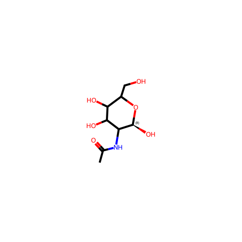 CC(=O)NC1C(O)C(O)C(CO)O[C@H]1O